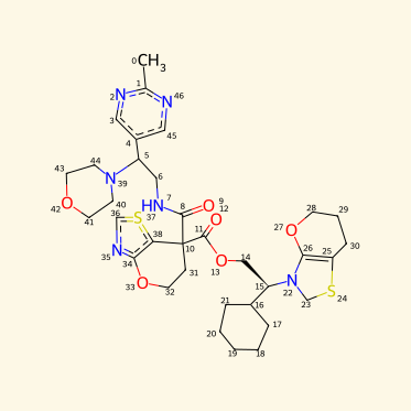 Cc1ncc(C(CNC(=O)C2(C(=O)OC[C@H](C3CCCCC3)N3CSC4=C3OCCC4)CCOc3ncsc32)N2CCOCC2)cn1